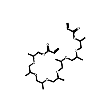 C=CC(=O)OCC(C)OCC(C)OCC(C)OCC(C)OCC(C)OCC(C)OCC(C)OC(=O)C=C